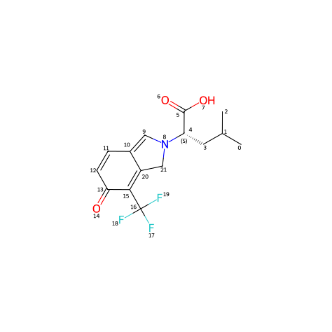 CC(C)C[C@@H](C(=O)O)N1C=C2C=CC(=O)C(C(F)(F)F)=C2C1